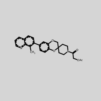 CC(=O)OCC(=O)N1CCC2(CC1)COc1cc(-c3ccc4cccnc4c3C)ccc1O2